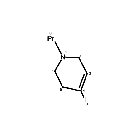 CC(C)N1CC=C(I)CC1